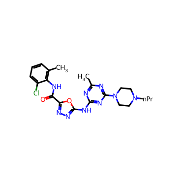 CCCN1CCN(c2nc(C)nc(Nc3nnc(C(=O)Nc4c(C)cccc4Cl)o3)n2)CC1